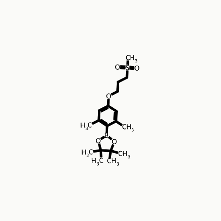 Cc1cc(OCCCS(C)(=O)=O)cc(C)c1B1OC(C)(C)C(C)(C)O1